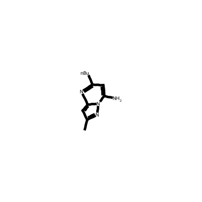 CCCCc1cc(N)n2nc(C)cc2n1